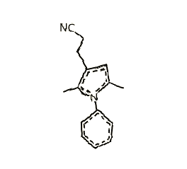 Cc1cc(CCC#N)c(C)n1-c1ccccc1